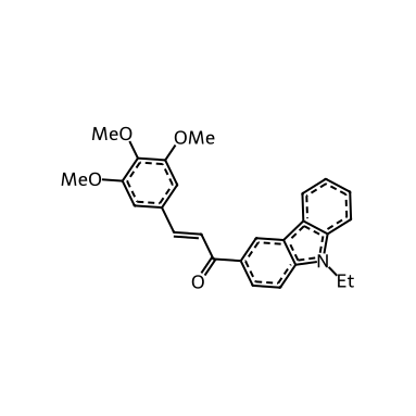 CCn1c2ccccc2c2cc(C(=O)C=Cc3cc(OC)c(OC)c(OC)c3)ccc21